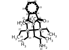 CC[Si](CC)(CC)C(CCN)(N1C(=O)c2ccccc2C1=O)[Si](CC)(CC)CC